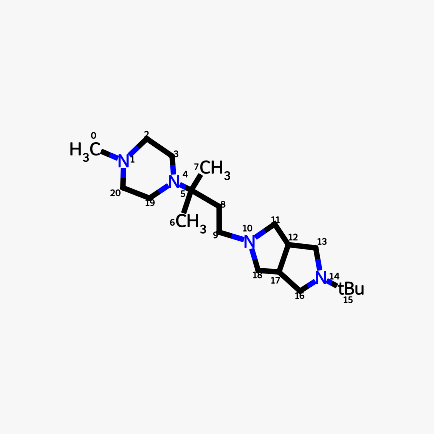 CN1CCN(C(C)(C)CCN2CC3CN(C(C)(C)C)CC3C2)CC1